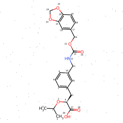 CC(C)O[C@@H](Cc1cccc(CNC(=O)OCc2ccc3c(c2)OCO3)c1)C(=O)O